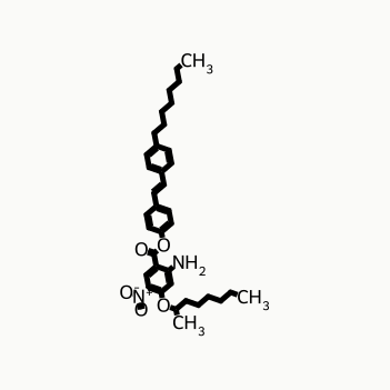 CCCCCCCCc1ccc(C=Cc2ccc(OC(=O)c3cc([N+](=O)[O-])c(OC(C)CCCCCC)cc3N)cc2)cc1